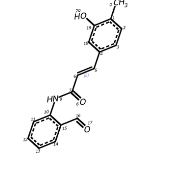 Cc1ccc(/C=C/C(=O)Nc2ccccc2C=O)cc1O